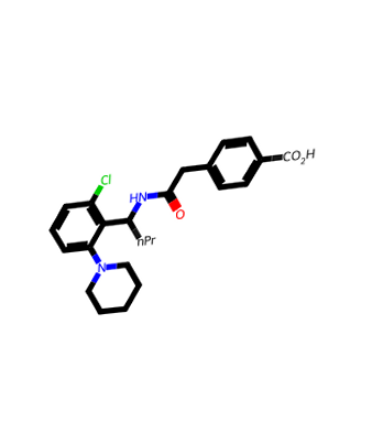 CCCC(NC(=O)Cc1ccc(C(=O)O)cc1)c1c(Cl)cccc1N1CCCCC1